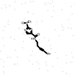 CC[S+]([O-])c1ncc(C(=O)NCCC#CC(C)C)s1